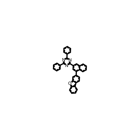 c1ccc(-c2nc(-c3ccccc3)nc(-c3cc(-c4ccc5c(c4)oc4ccccc45)c4ccccc4c3)n2)cc1